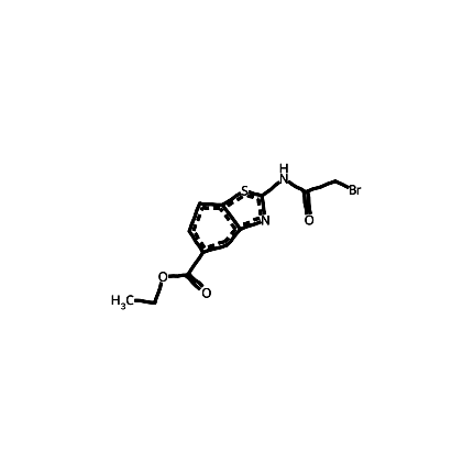 CCOC(=O)c1ccc2sc(NC(=O)CBr)nc2c1